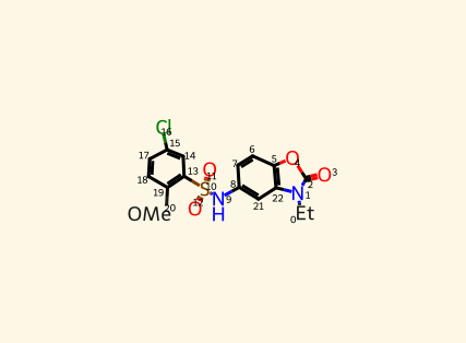 CCn1c(=O)oc2ccc(NS(=O)(=O)c3cc(Cl)ccc3OC)cc21